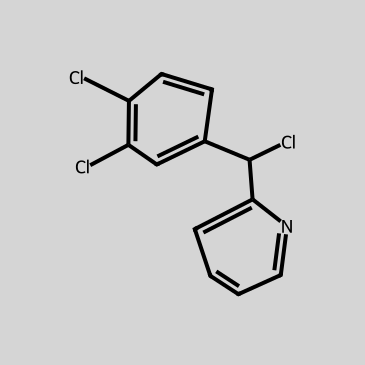 Clc1ccc(C(Cl)c2ccccn2)cc1Cl